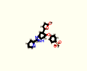 CS(=O)(=O)c1ccc(Oc2cc3[nH]c(-c4ccccn4)nc3cc2C2CCC(=O)O2)cc1